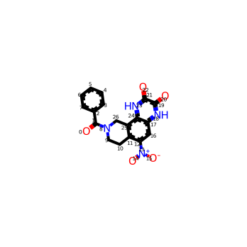 O=C(c1ccccc1)N1CCc2c([N+](=O)[O-])cc3[nH]c(=O)c(=O)[nH]c3c2C1